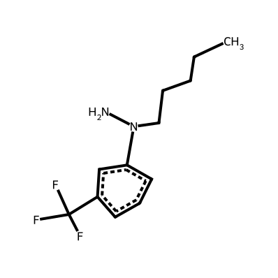 CCCCCN(N)c1cccc(C(F)(F)F)c1